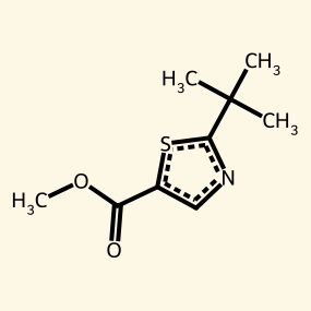 COC(=O)c1cnc(C(C)(C)C)s1